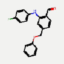 O=Cc1ccc(COc2ccccc2)cc1Nc1ccc(F)cc1